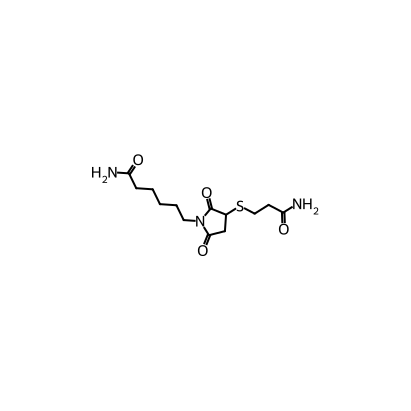 NC(=O)CCCCCN1C(=O)CC(SCCC(N)=O)C1=O